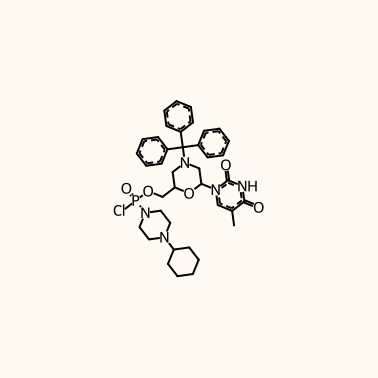 Cc1cn(C2CN(C(c3ccccc3)(c3ccccc3)c3ccccc3)CC(COP(=O)(Cl)N3CCN(C4CCCCC4)CC3)O2)c(=O)[nH]c1=O